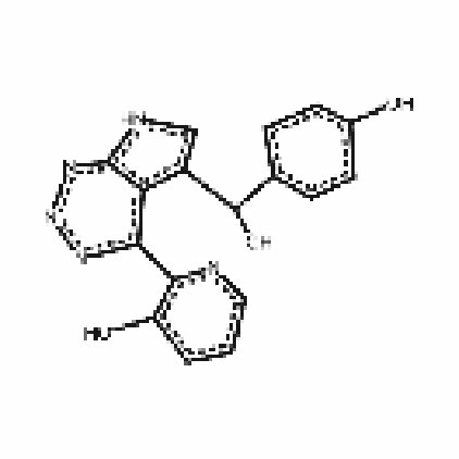 Oc1ccc(C(O)c2c[nH]c3nnnc(-c4ncccc4O)c23)cc1